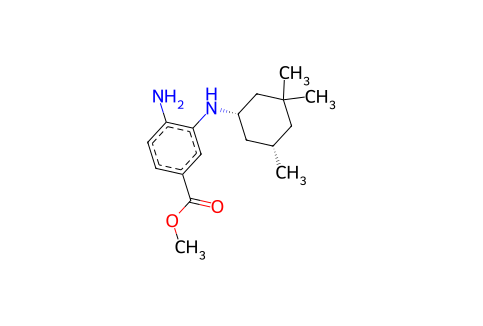 COC(=O)c1ccc(N)c(N[C@H]2C[C@@H](C)CC(C)(C)C2)c1